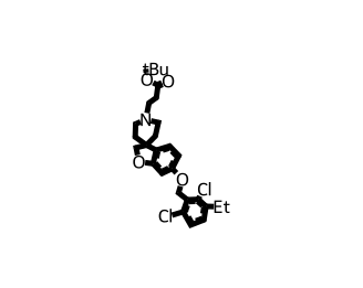 CCc1ccc(Cl)c(COc2ccc3c(c2)OCC32CCN(CCC(=O)OC(C)(C)C)CC2)c1Cl